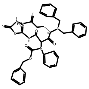 NC(=O)CC[C@@H](C(=O)C(C(=O)Nc1n[nH]c(=S)s1)N(C(=O)OCc1ccccc1)c1ccccc1)N(Cc1ccccc1)Cc1ccccc1